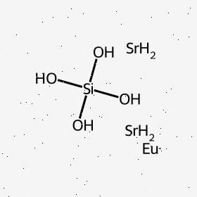 O[Si](O)(O)O.[Eu].[SrH2].[SrH2]